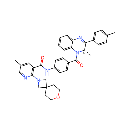 Cc1ccc(C2=Nc3ccccc3N(C(=O)c3ccc(NC(=O)c4cc(C)cnc4N4CC5(CCOCC5)C4)cc3)[C@H]2C)cc1